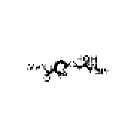 CNC(=O)c1ccc(OCC(O)CNC(C)C)nc1